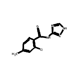 Cc1ccc(C(=O)Nc2nc[nH]n2)c(Cl)c1